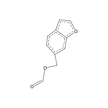 O=COCc1ccc2ccoc2c1